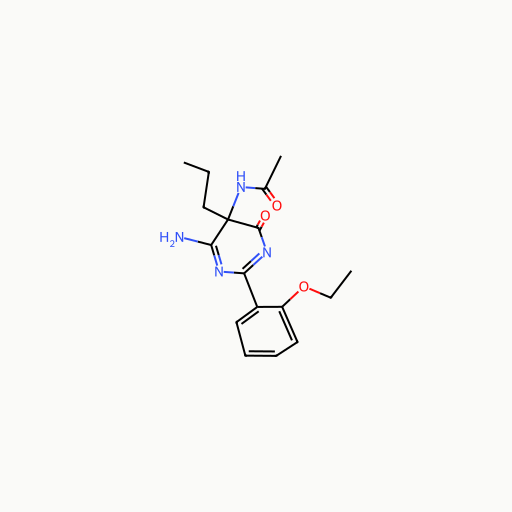 CCCC1(NC(C)=O)C(=O)N=C(c2ccccc2OCC)N=C1N